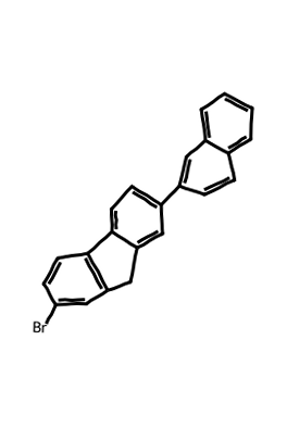 Brc1ccc2c(c1)Cc1cc(-c3ccc4ccccc4c3)ccc1-2